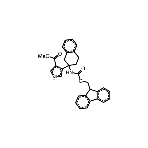 COC(=O)c1cscc1C1(NC(=O)OCC2c3ccccc3-c3ccccc32)CCc2ccccc2C1